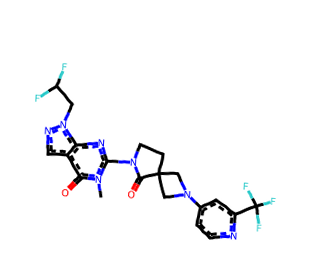 Cn1c(N2CCC3(CN(c4ccnc(C(F)(F)F)c4)C3)C2=O)nc2c(cnn2CC(F)F)c1=O